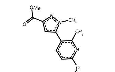 CCOc1ccc(-c2cc(C(=O)OC)nn2C)c(C)n1